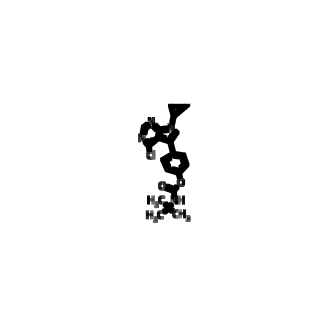 CC(C)(C)NC(=O)Oc1ccc(-c2cn(C3CC3)c3ncnc(Cl)c23)cc1